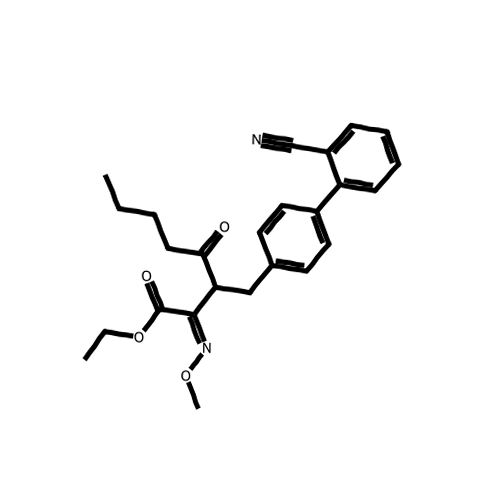 CCCCC(=O)C(Cc1ccc(-c2ccccc2C#N)cc1)C(=NOC)C(=O)OCC